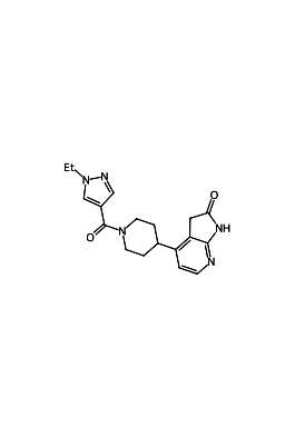 CCn1cc(C(=O)N2CCC(c3ccnc4c3CC(=O)N4)CC2)cn1